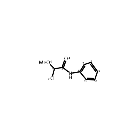 COC(Cl)C(=O)Nc1ccccc1